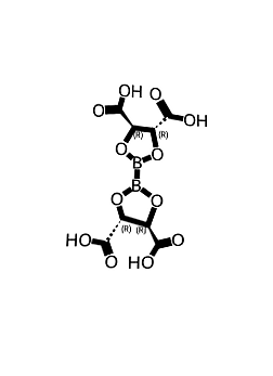 O=C(O)[C@@H]1OB(B2O[C@@H](C(=O)O)[C@H](C(=O)O)O2)O[C@H]1C(=O)O